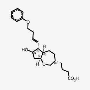 O=C(O)CCC[C@H]1CC[C@@H]2[C@@H](C=CCCOc3ccccc3)[C@H](O)C[C@@H]2OC1